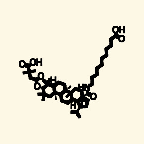 C=C(C)[C@@H]1CC[C@]2(C(=O)NCCCCCCCCCCC(=O)O)CC[C@]3(C)[C@H](CCC4[C@@]5(C)CC(C)(C)[C@H](OC(=O)CC(C)(C)C(=O)O)C(C)(C)[C@@H]5CC[C@]43C)[C@@H]12